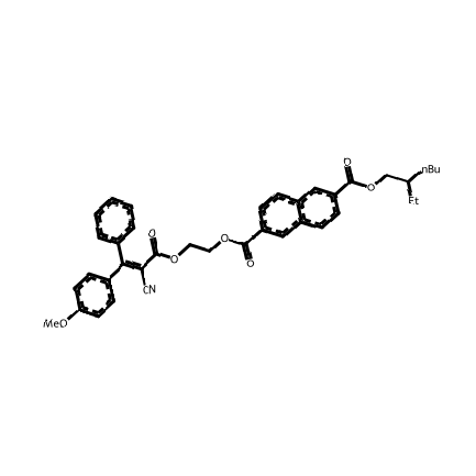 CCCCC(CC)COC(=O)c1ccc2cc(C(=O)OCCOC(=O)/C(C#N)=C(\c3ccccc3)c3ccc(OC)cc3)ccc2c1